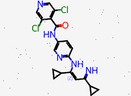 N=C(/C=C(\Nc1ccc(NC(=O)c2c(Cl)cncc2Cl)cn1)C1CC1)C1CC1